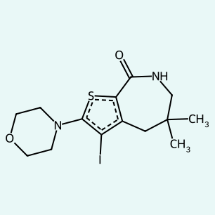 CC1(C)CNC(=O)c2sc(N3CCOCC3)c(I)c2C1